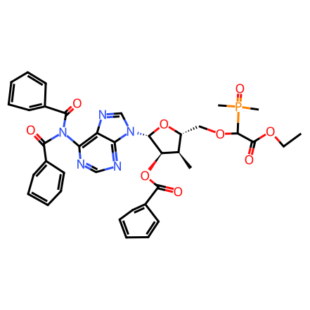 CCOC(=O)C(OC[C@H]1O[C@@H](n2cnc3c(N(C(=O)c4ccccc4)C(=O)c4ccccc4)ncnc32)[C@H](OC(=O)c2ccccc2)[C@@H]1C)P(C)(C)=O